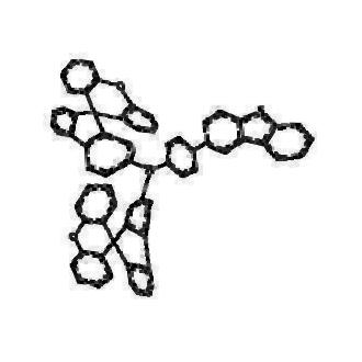 c1ccc2c(c1)Oc1ccccc1C21c2ccccc2-c2ccc(N(c3ccc(-c4ccc5sc6ccccc6c5c4)cc3)c3ccc4c(c3)C3(c5ccccc5Oc5ccccc53)c3ccccc3-4)cc21